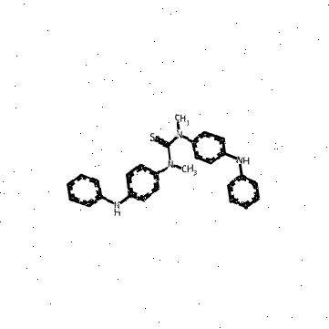 CN(C(=S)N(C)c1ccc(Nc2ccccc2)cc1)c1ccc(Nc2ccccc2)cc1